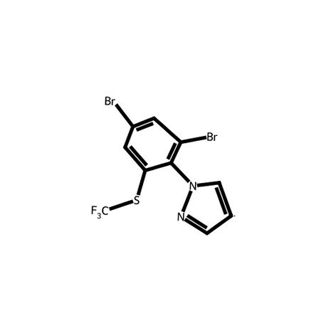 FC(F)(F)Sc1cc(Br)cc(Br)c1-n1c[c]cn1